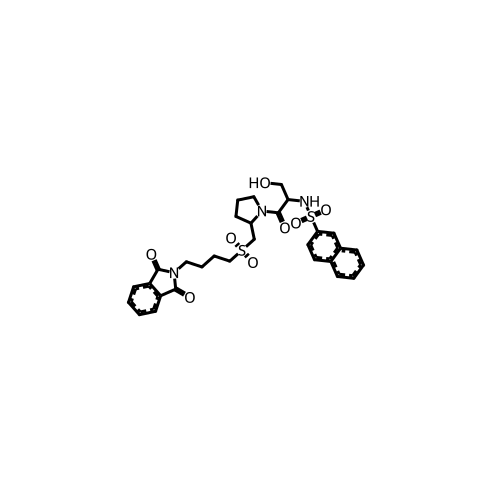 O=C1c2ccccc2C(=O)N1CCCCS(=O)(=O)CC1CCCN1C(=O)C(CO)NS(=O)(=O)c1ccc2ccccc2c1